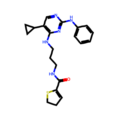 O=C(NCCCNc1nc(Nc2ccccc2)ncc1C1CC1)C1=CCCS1